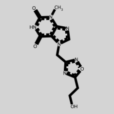 Cn1c(=O)[nH]c(=O)c2c1ncn2Cc1noc(CCO)n1